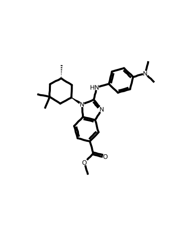 COC(=O)c1ccc2c(c1)nc(Nc1ccc(N(C)C)cc1)n2[C@@H]1C[C@@H](C)CC(C)(C)C1